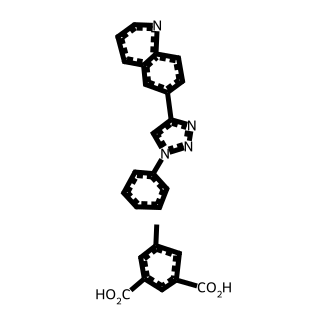 Cc1cc(C(=O)O)cc(C(=O)O)c1.c1ccc(-n2cc(-c3ccc4ncccc4c3)nn2)cc1